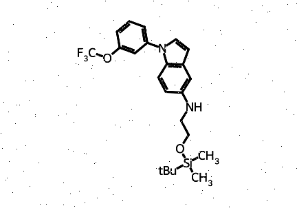 CC(C)(C)[Si](C)(C)OCCNc1ccc2c(ccn2-c2cccc(OC(F)(F)F)c2)c1